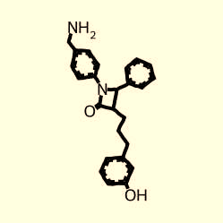 NCc1ccc(N2C(=O)C(CCCc3cccc(O)c3)C2c2ccccc2)cc1